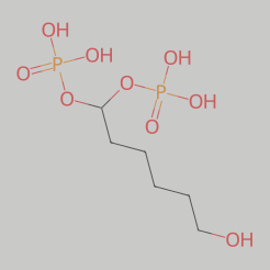 O=P(O)(O)OC(CCCCCO)OP(=O)(O)O